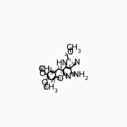 COCCNc1c(C#N)c(N)nc2c1Cc1cc(OC)c(OC)cc1O2